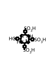 O=S(=O)(O)c1ccc(-c2c3nc(c(-c4ccc(S(=O)(=O)O)cc4)c4ccc([nH]4)c(-c4ccc(S(=O)(=O)O)cc4)c4nc(c(-c5ccc(O)cc5)c5ccc2[nH]5)C=C4)C=C3)cc1